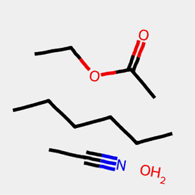 CC#N.CCCCCC.CCOC(C)=O.O